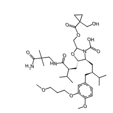 COCCCOc1cc(C[C@@H](C[C@H]2[C@H](C[C@H](C(=O)NCC(C)(C)C(N)=O)C(C)C)OC(COC(=O)C3(CO)CC3)N2C(=O)O)C(C)C)ccc1OC